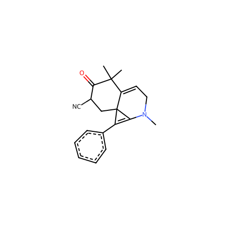 CN1CC=C2C(C)(C)C(=O)C(C#N)CC23C(c2ccccc2)=C13